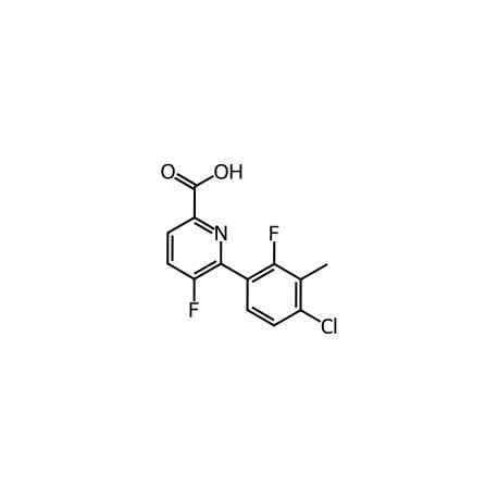 Cc1c(Cl)ccc(-c2nc(C(=O)O)ccc2F)c1F